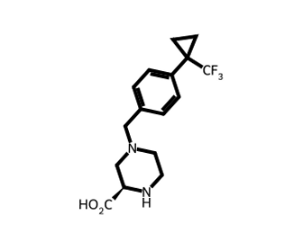 O=C(O)[C@H]1CN(Cc2ccc(C3(C(F)(F)F)CC3)cc2)CCN1